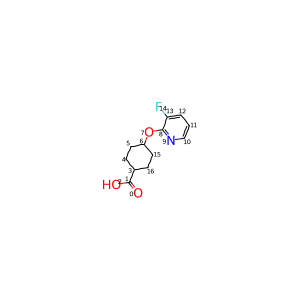 O=C(O)C1CCC(Oc2ncccc2F)CC1